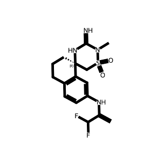 C=C(Nc1ccc2c(c1)[C@]1(CCC2)CS(=O)(=O)N(C)C(=N)N1)C(F)F